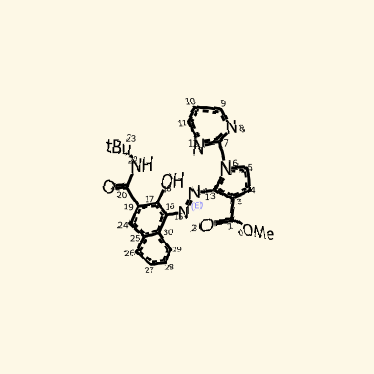 COC(=O)c1ccn(-c2ncccn2)c1/N=N/c1c(O)c(C(=O)NC(C)(C)C)cc2ccccc12